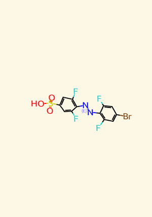 O=S(=O)(O)c1cc(F)c(/N=N/c2c(F)cc(Br)cc2F)c(F)c1